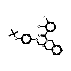 CC(C)(C)Oc1ccc(OC[C@@H]2Cc3ccccc3CN2C(=O)c2cccc(Cl)c2Cl)cc1